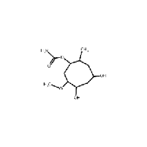 COC1CC(OC(N)=O)C(C)CC(O)CC1O